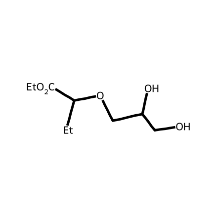 CCOC(=O)C(CC)OCC(O)CO